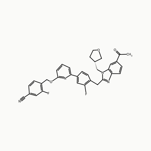 CC(=O)c1ccc2nc(Cc3ccc(-c4cccc(OCc5ccc(C#N)cc5F)n4)cc3F)n(C[C@@H]3CCOC3)c2c1